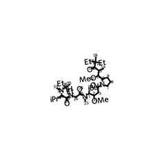 CCC(C)C(C(CC(=O)N1CCCC1C(OC)C(C)C(=O)C(C)(CC)CC)OC)N(C)C(=O)CNC(=O)C(C(C)C)N(C)C(C)(CC)CC